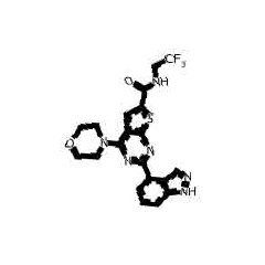 O=C(NCC(F)(F)F)c1cc2c(N3CCOCC3)nc(-c3cccc4[nH]ncc34)nc2s1